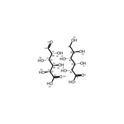 O=C(O)[C@H](O)[C@@H](O)[C@H](O)[C@H](O)CO.O=C[C@H](O)[C@@H](O)[C@@H](O)[C@H](O)C(=O)O